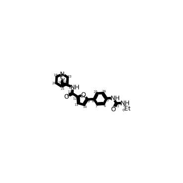 CCNC(=O)Nc1ccc(-c2ccc(C(=O)NC3CN4CCC3CC4)o2)cc1